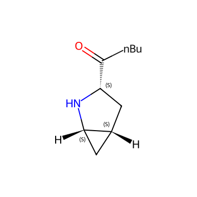 CCCCC(=O)[C@@H]1C[C@@H]2C[C@@H]2N1